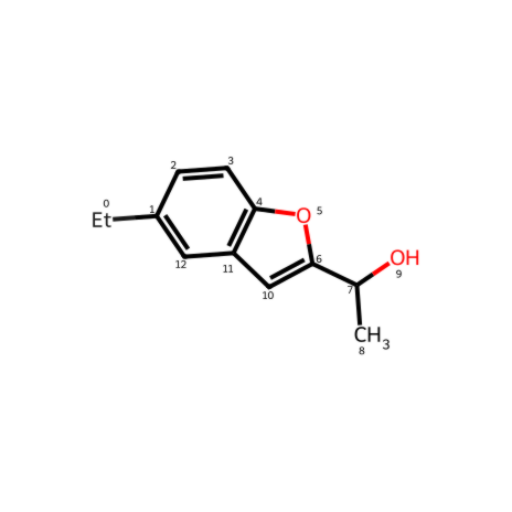 CCc1ccc2oc(C(C)O)cc2c1